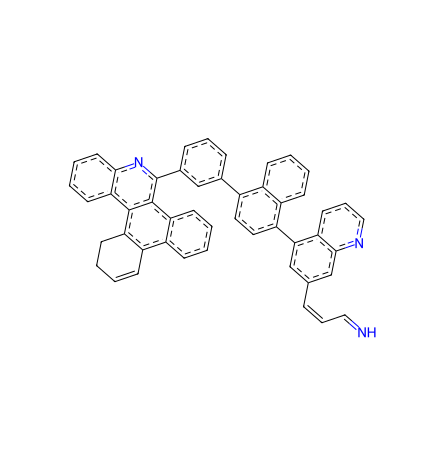 N=C/C=C\c1cc(-c2ccc(-c3cccc(-c4nc5ccccc5c5c6c(c7ccccc7c45)C=CCC6)c3)c3ccccc23)c2cccnc2c1